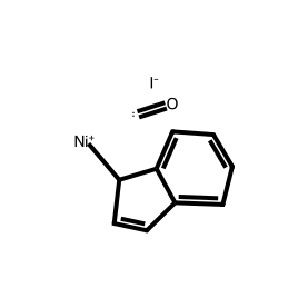 [C]=O.[I-].[Ni+][CH]1C=Cc2ccccc21